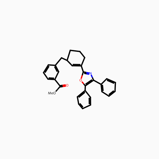 COC(=O)c1cccc(CC2C=C(c3nc(-c4ccccc4)c(-c4ccccc4)o3)CCC2)c1